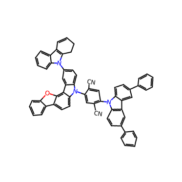 N#Cc1cc(-n2c3ccc(-n4c5c(c6ccccc64)C=CCC5)cc3c3c4oc5ccccc5c4ccc32)c(C#N)cc1-n1c2ccc(-c3ccccc3)cc2c2cc(-c3ccccc3)ccc21